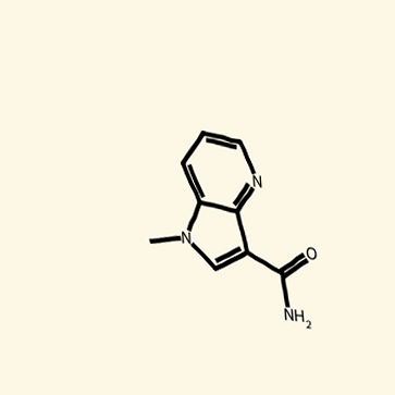 Cn1cc(C(N)=O)c2ncccc21